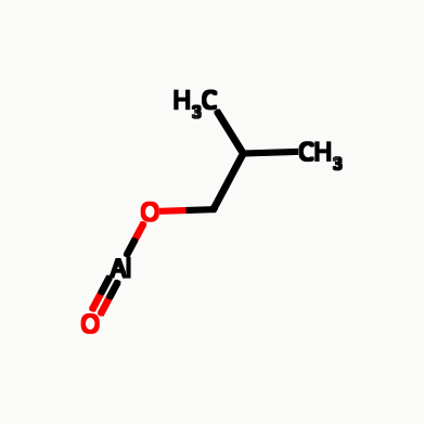 CC(C)C[O][Al]=[O]